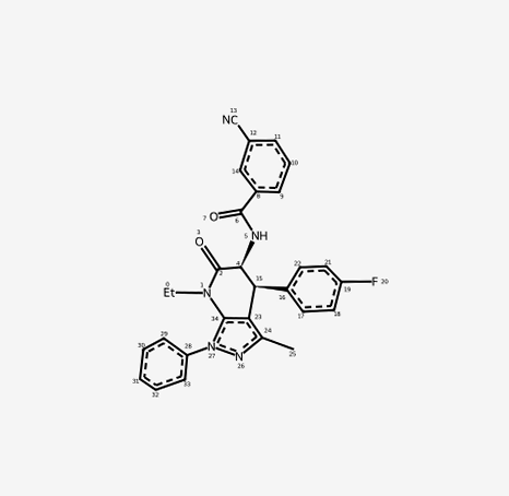 CCN1C(=O)[C@@H](NC(=O)c2cccc(C#N)c2)[C@@H](c2ccc(F)cc2)c2c(C)nn(-c3ccccc3)c21